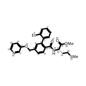 CCc1ccccc1-c1cc(COc2cccnc2)ccc1C(=O)N[C@@H](CCSC)C(=O)OC